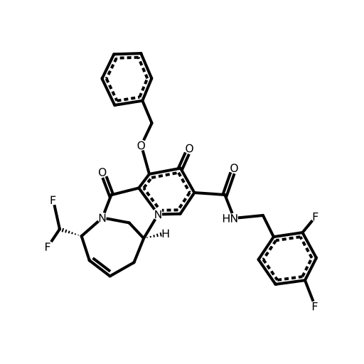 O=C(NCc1ccc(F)cc1F)c1cn2c(c(OCc3ccccc3)c1=O)C(=O)N1C[C@@H]2CC=C[C@@H]1C(F)F